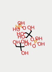 O=P(O)(O)OCC(CO)(CO)CO.O=[PH](O)O.OCC(CO)(CO)CO